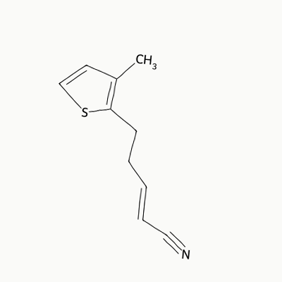 Cc1ccsc1CC/C=C/C#N